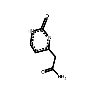 NC(=O)Cc1cc[nH]c(=O)n1